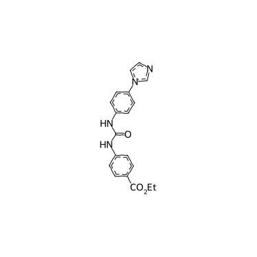 CCOC(=O)c1ccc(NC(=O)Nc2ccc(-n3ccnc3)cc2)cc1